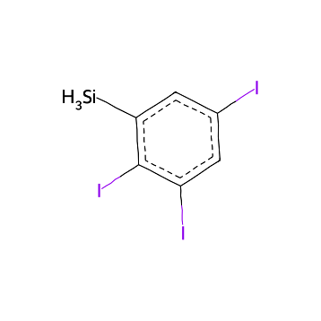 [SiH3]c1cc(I)cc(I)c1I